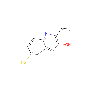 C=Cc1nc2ccc(S)cc2cc1O